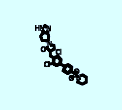 O=C1C(Cc2c(Cl)cc(-c3ccc(S(=O)(=O)N4CCCCC4)cc3)cc2Cl)CCN1[C@@H]1CCc2[nH]cnc2C1